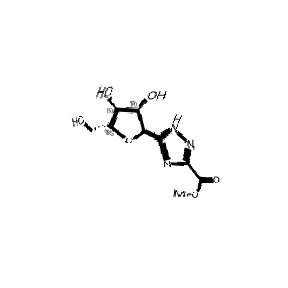 COC(=O)c1n[nH]c(C2O[C@H](CO)[C@@H](O)[C@H]2O)n1